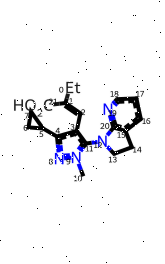 CCC(=Cc1c(C2CC2)nn(C)c1N1CCc2cccnc21)C(=O)O